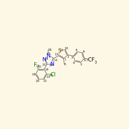 Cc1c(-c2ccc(C(F)(F)F)cc2)csc1-c1nc(-c2c(F)cccc2Cl)nn1C